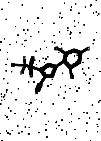 N#Cc1cn(-c2c(Cl)cc(Cl)cc2Cl)cc1S(=O)(=O)C(F)(F)Cl